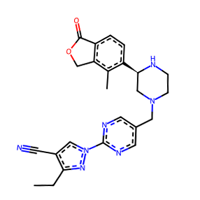 CCc1nn(-c2ncc(CN3CCN[C@H](c4ccc5c(c4C)COC5=O)C3)cn2)cc1C#N